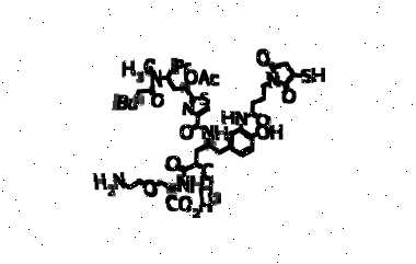 CC[C@H](C)CC(=O)N(C)C(C[C@@H](OC(C)=O)c1nc(C(=O)N[C@@H](Cc2ccc(O)c(NC(=O)CCCN3C(=O)CC(S)C3=O)c2)CC(C)C(=O)N[C@@H](COCCN)C(=O)O)cs1)C(C)C